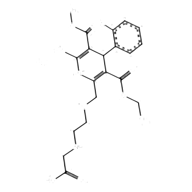 CCOC(=O)C1=C(COCCNCC(=O)O)NC(C)=C(C(=O)OC)C1c1ccccc1Cl.O